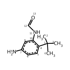 CC(C)(C)c1ccc(N)cc1NC=O